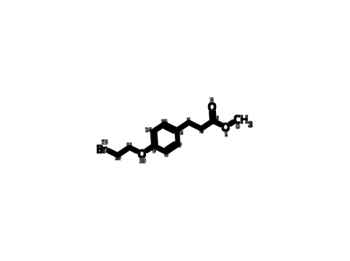 COC(=O)CCc1ccc(OCCBr)cc1